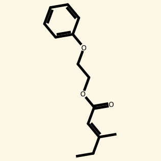 CC/C(C)=C/C(=O)OCCOc1ccccc1